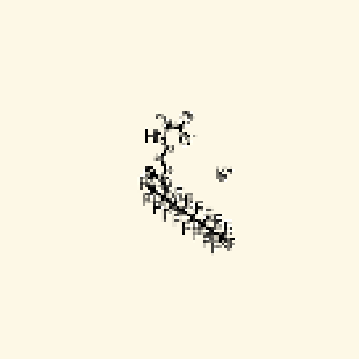 C[C@H](NCCCS(=O)(=O)C(F)(F)C(F)(F)C(F)(F)C(F)(F)C(F)(F)C(F)(F)C(F)(F)C(F)(F)F)C(=O)[O-].[K+]